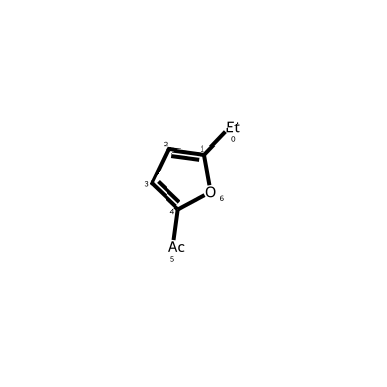 CCc1ccc(C(C)=O)o1